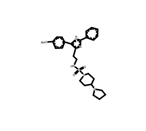 COc1ccc(-c2[nH]c(-c3ccccc3)nc2CCNS(=O)(=O)N2CCC(N3CCCC3)CC2)cc1